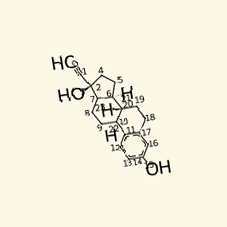 C#C[C@]1(O)CC[C@@H]2C1CC[C@@H]1c3ccc(O)cc3CC[C@H]12